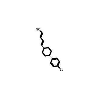 CCc1ccc([C@H]2CC[C@H](C=CC=CC#N)CC2)cc1